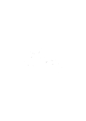 CN(C(=O)CCC(=O)N(C)C1CCCCC1)C1CCCCC1